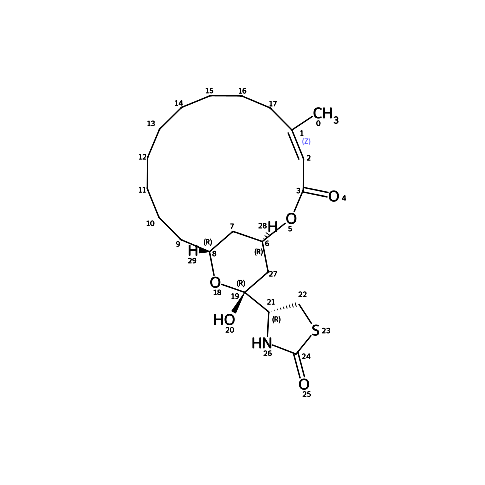 C/C1=C/C(=O)O[C@@H]2C[C@@H](CCCCCCCCC1)O[C@@](O)([C@@H]1CSC(=O)N1)C2